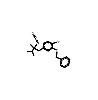 CC(C)C(C)(Cc1ccc(Br)c(OCc2ccccc2)c1)N=C=O